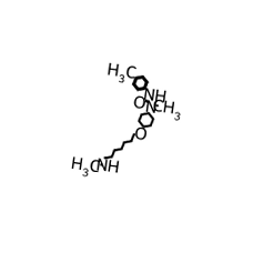 CNCCCCCCCOC1CCC(N(C)C(=O)Nc2ccc(C)cc2)CC1